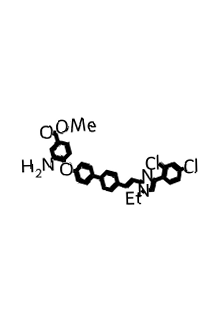 CCn1cc(-c2ccc(Cl)cc2Cl)nc1/C=C/c1ccc(-c2ccc(Oc3ccc(C(=O)OC)cc3N)cc2)cc1